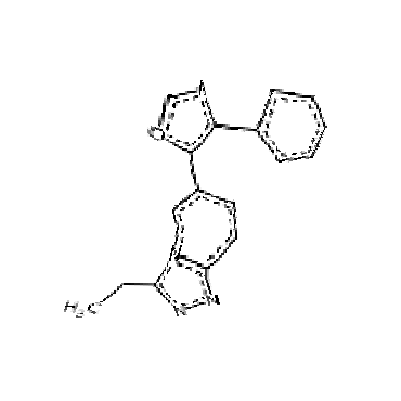 CCc1nnc2ccc(-c3ocnc3-c3ccccc3)cn12